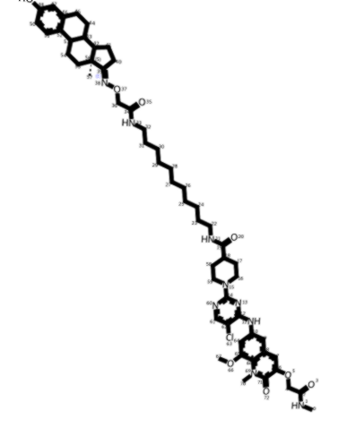 CNC(=O)COc1cc2cc(Nc3nc(N4CCC(C(=O)NCCCCCCCCCCCNC(=O)CO/N=C5\CCC6C7CCc8cc(O)ccc8C7CC[C@]56C)CC4)ncc3Cl)cc(OC)c2n(C)c1=O